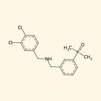 CP(C)(=O)c1cccc(CNCc2ccc(Cl)c(Cl)c2)c1